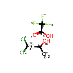 ClCCl.O=C(O)C(F)(F)F.OC(C(F)(F)F)C(F)(F)F